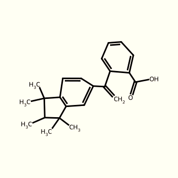 C=C(c1ccc2c(c1)C(C)(C)C(C)C2(C)C)c1ccccc1C(=O)O